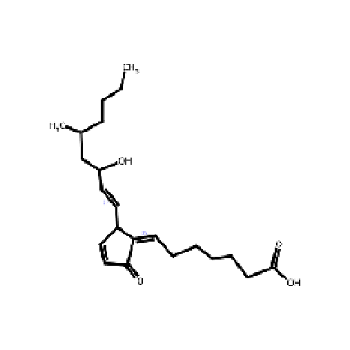 CCCCC(C)CC(O)/C=C/C1C=CC(=O)/C1=C\CCCCCC(=O)O